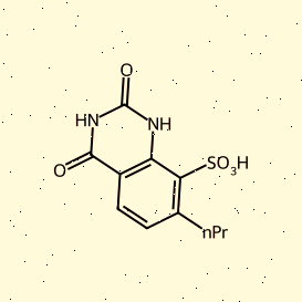 CCCc1ccc2c(=O)[nH]c(=O)[nH]c2c1S(=O)(=O)O